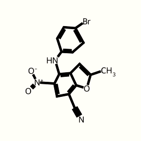 Cc1cc2c(Nc3ccc(Br)cc3)c([N+](=O)[O-])cc(C#N)c2o1